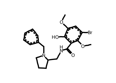 COc1cc(Br)c(OC)c(C(=O)NCC2CCCN2Cc2ccccc2)c1O